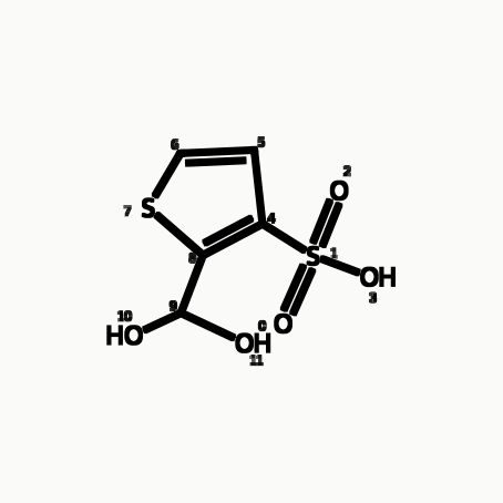 O=S(=O)(O)c1ccsc1C(O)O